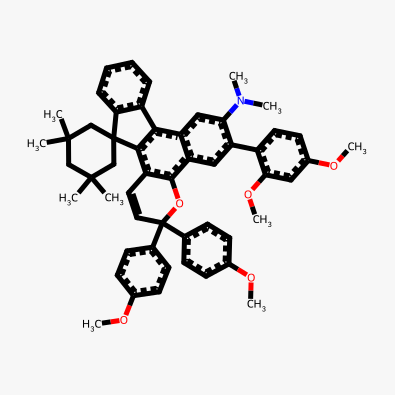 COc1ccc(C2(c3ccc(OC)cc3)C=Cc3c4c(c5cc(N(C)C)c(-c6ccc(OC)cc6OC)cc5c3O2)-c2ccccc2C42CC(C)(C)CC(C)(C)C2)cc1